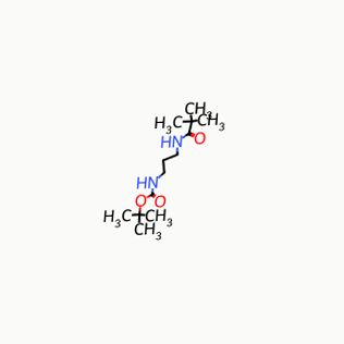 CC(C)(C)OC(=O)NCCCNC(=O)C(C)(C)C